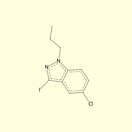 CCCn1nc(I)c2cc(Cl)ccc21